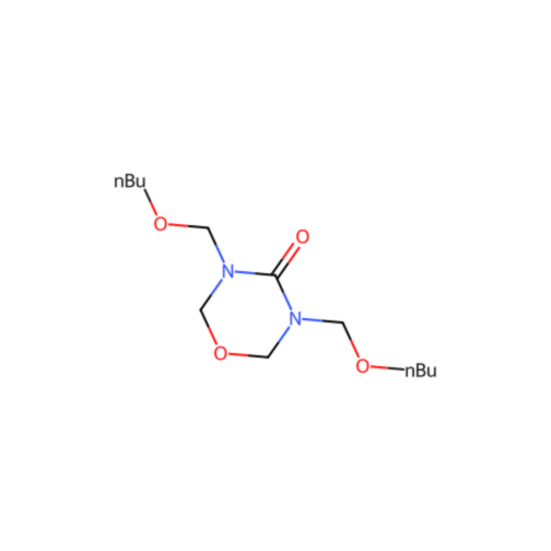 CCCCOCN1COCN(COCCCC)C1=O